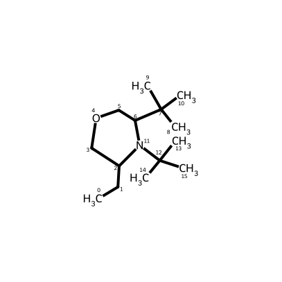 CCC1COCC(C(C)(C)C)N1C(C)(C)C